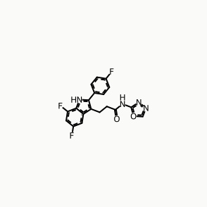 O=C(CCc1c(-c2ccc(F)cc2)[nH]c2c(F)cc(F)cc12)Nc1nnco1